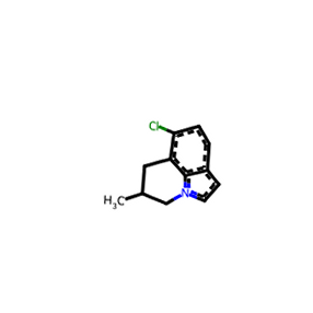 CC1Cc2c(Cl)ccc3ccn(c23)C1